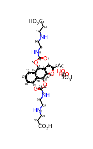 CC(=O)c1cc2c(OC(=O)NCCNCCC(=O)O)c3ccccc3c(OC(=O)NCCNCCC(=O)O)c2o1.O.O=S(=O)(O)O